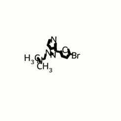 CN(C)CCn1nc(-c2ccc(Br)cc2)c2cnccc21